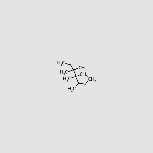 CCC(C)C(C)(C)C(C)(C)CC